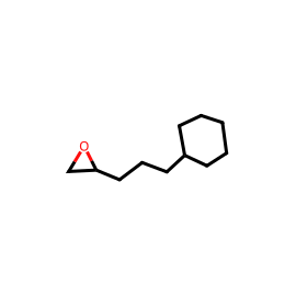 C1CCC(CCCC2CO2)CC1